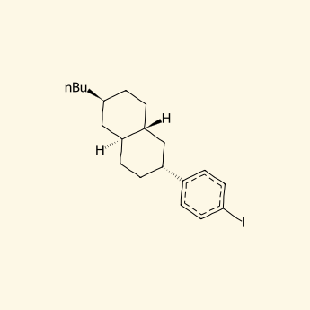 CCCC[C@H]1CC[C@@H]2C[C@H](c3ccc(I)cc3)CC[C@H]2C1